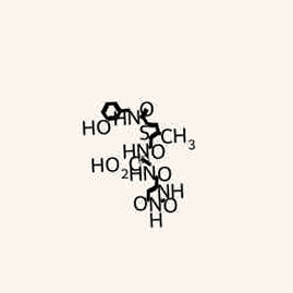 Cc1cc(C(=O)NCc2cccc(O)c2)sc1C(=O)N[C@@H](CNC(=O)c1cc(=O)[nH]c(=O)[nH]1)C(=O)O